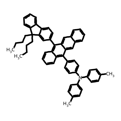 CCCCC1(CCCC)c2ccccc2-c2ccc(-c3c4ccccc4c(-c4ccc(N(c5ccc(C)cc5)c5ccc(C)cc5)cc4)c4cc5ccccc5cc34)cc21